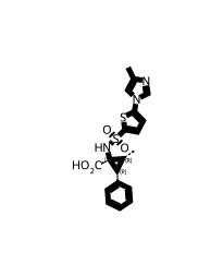 Cc1cn(-c2ccc(S(=O)(=O)N[C@@]3(C(=O)O)[C@H](C)[C@@H]3c3ccccc3)s2)cn1